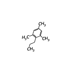 CCCc1c(C)cc(C)cc1C